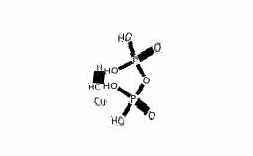 C#N.O=P(O)(O)OP(=O)(O)O.[Cu]